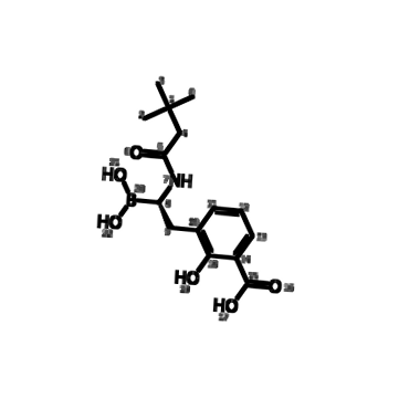 CC(C)(C)CC(=O)N[C@@H](Cc1cccc(C(=O)O)c1O)B(O)O